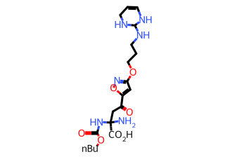 CCCCOC(=O)NC(N)(CC(=O)c1cc(OCCCNC2NC=CCN2)no1)C(=O)O